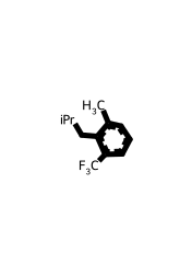 Cc1cccc(C(F)(F)F)c1CC(C)C